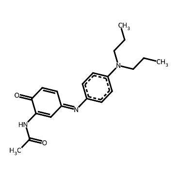 CCCN(CCC)c1ccc(N=C2C=CC(=O)C(NC(C)=O)=C2)cc1